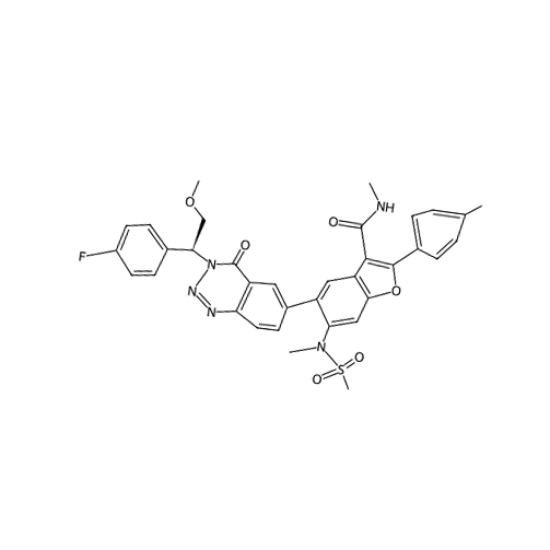 CNC(=O)c1c(-c2ccc(C)cc2)oc2cc(N(C)S(C)(=O)=O)c(-c3ccc4nnn([C@H](COC)c5ccc(F)cc5)c(=O)c4c3)cc12